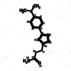 CC(C)c1ccc(-c2nnn(CCC(N)=O)n2)cc1